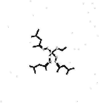 CCO[Si](ON=C(C)CC(C)C)(ON=C(C)CC(C)C)ON=C(C)CC(C)C